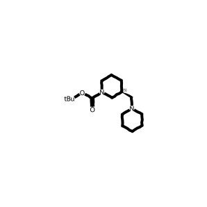 CC(C)(C)OC(=O)N1CCC[C@@H](CN2CCCCC2)C1